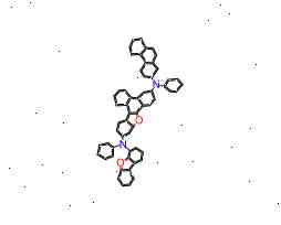 c1ccc(N(c2ccc3c(ccc4ccccc43)c2)c2ccc3c(c2)c2ccccc2c2c4ccc(N(c5ccccc5)c5cccc6c5oc5ccccc56)cc4oc32)cc1